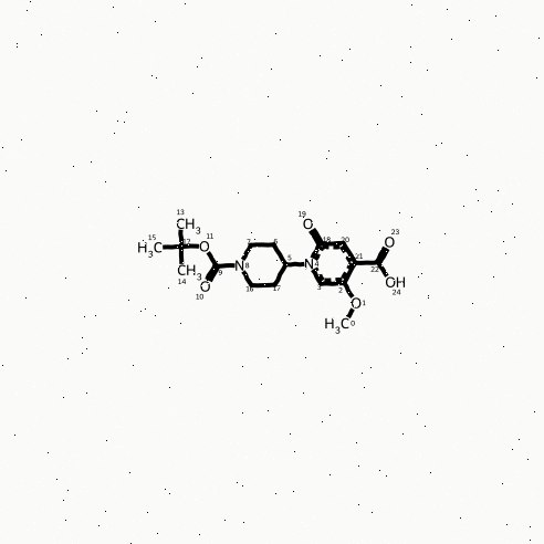 COc1cn(C2CCN(C(=O)OC(C)(C)C)CC2)c(=O)cc1C(=O)O